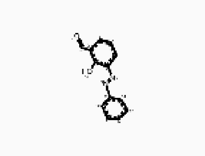 O=Cc1cccc(N=Nc2ccccc2)c1O